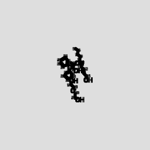 CC(O)CO.CCCCCCCCCCO.OCCOCCO.c1ccc(Oc2ccccc2)cc1